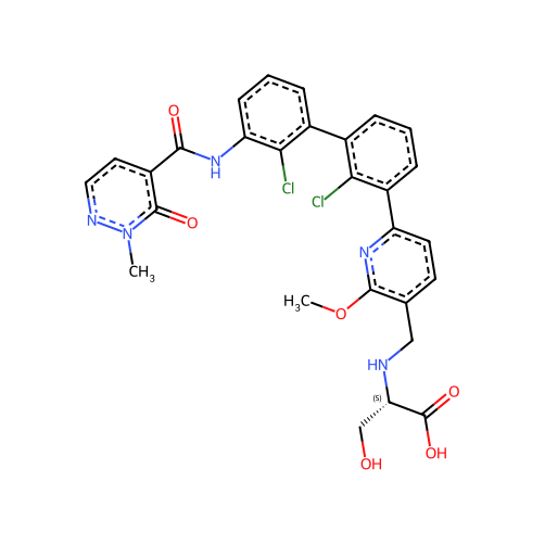 COc1nc(-c2cccc(-c3cccc(NC(=O)c4ccnn(C)c4=O)c3Cl)c2Cl)ccc1CN[C@@H](CO)C(=O)O